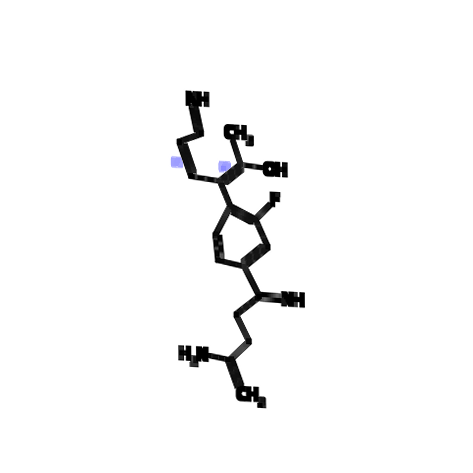 C=C(N)CCC(=N)c1ccc(C(/C=C\C=N)=C(/C)O)c(F)c1